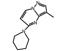 Cc1cnn2ccc(N3CCCCC3)nc12